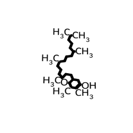 CC1=C(O)CC2CCC(C)(CCCC(C)CCCC(C)CCCC(C)C)OC2C1C